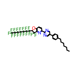 CCCCCCCc1ccc(-c2cnc(-c3ccc4c(n3)C(F)(F)C(C(F)(F)C(F)(F)C(F)(F)C(F)(F)C(F)(F)C(F)(F)C(F)(F)F)O4)nc2)cc1